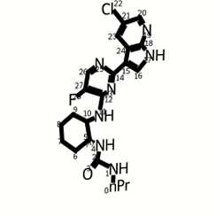 CCCNC(=O)N[C@@H]1CCCCC1Nc1nc(-c2c[nH]c3ncc(Cl)cc23)ncc1F